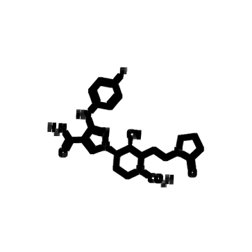 N#C[C@@H]1C(CCN2CCCC2=O)N(C(=O)O)CC[C@H]1n1cc(C(N)=O)c(Nc2ccc(F)cc2)n1